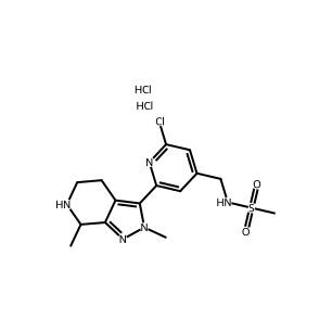 CC1NCCc2c1nn(C)c2-c1cc(CNS(C)(=O)=O)cc(Cl)n1.Cl.Cl